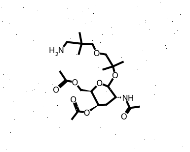 CC(=O)N[C@@H]1C[C@@H](OC(C)=O)[C@@H](COC(C)=O)OC1OC(C)(C)COCC(C)(C)CN